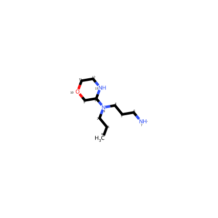 CCCN(CCC[NH])C1COCCN1